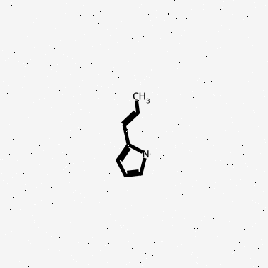 CC=CC1=CC=C[N]1